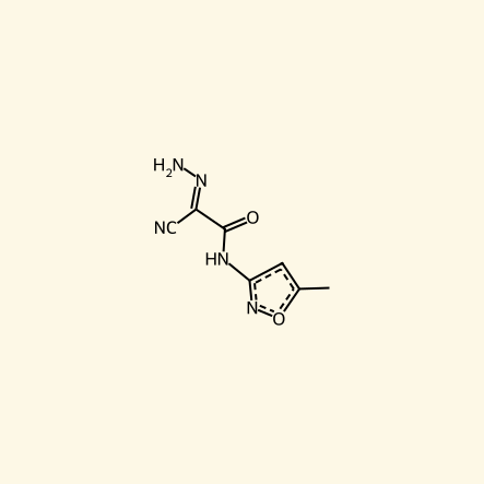 Cc1cc(NC(=O)/C(C#N)=N/N)no1